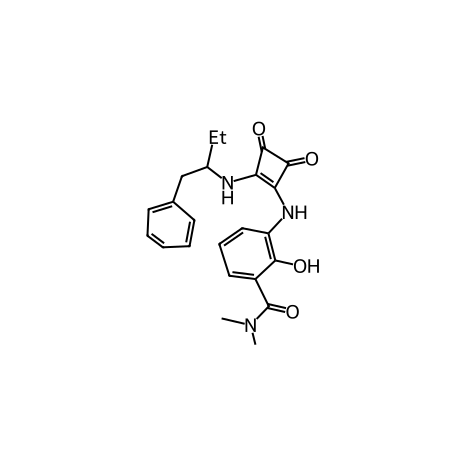 CCC(Cc1ccccc1)Nc1c(Nc2cccc(C(=O)N(C)C)c2O)c(=O)c1=O